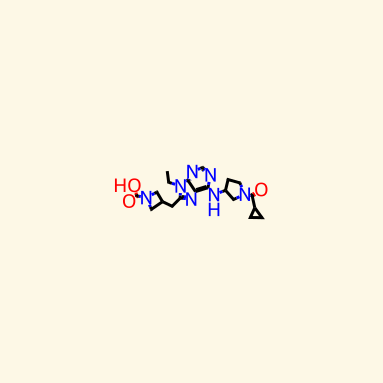 CCn1c(CC2CN(C(=O)O)C2)nc2c(NC3CCN(C(=O)C4CC4)C3)ncnc21